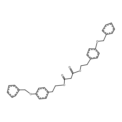 O=C(CC(=O)OCCc1ccc(OCc2ccccc2)cc1)OCCc1ccc(OCc2ccccc2)cc1